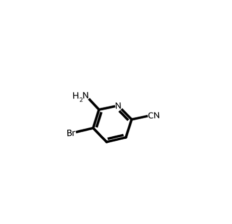 N#Cc1ccc(Br)c(N)n1